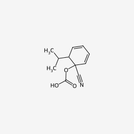 CC(C)C1C=CC=CC1(C#N)OC(=O)O